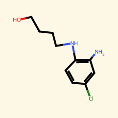 Nc1cc(Cl)ccc1NCCCCO